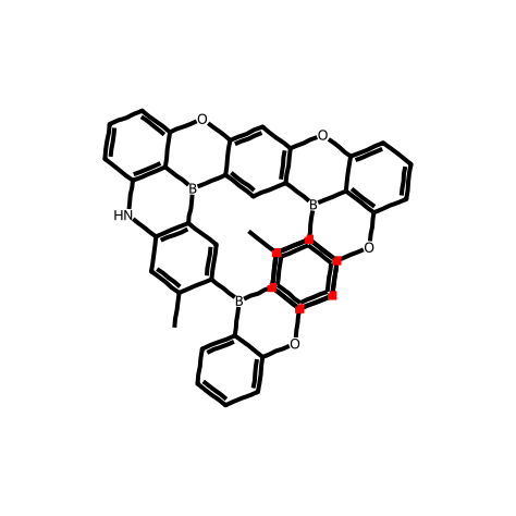 Cc1cc2c(cc1B1c3ccccc3Oc3cccc(C)c31)B1c3cc4c(cc3Oc3cccc(c31)N2)Oc1cccc2c1B4c1ccccc1O2